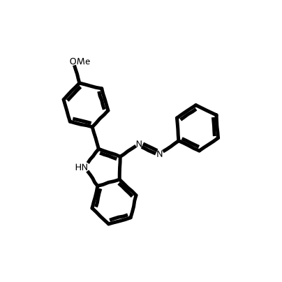 COc1ccc(-c2[nH]c3ccccc3c2N=Nc2ccccc2)cc1